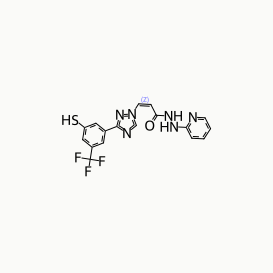 O=C(/C=C\n1cnc(-c2cc(S)cc(C(F)(F)F)c2)n1)NNc1ccccn1